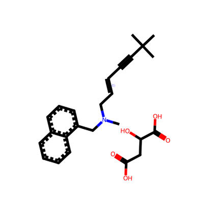 CN(C/C=C/C#CC(C)(C)C)Cc1cccc2ccccc12.O=C(O)CC(O)C(=O)O